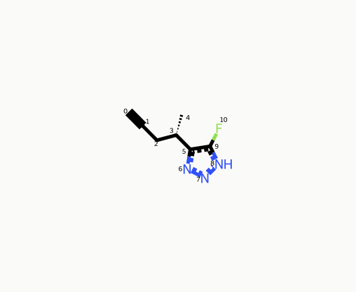 C#CC[C@H](C)c1nn[nH]c1F